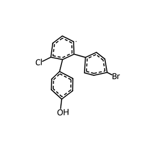 Oc1ccc(-c2c(-c3ccc(Br)cc3)[c]ccc2Cl)cc1